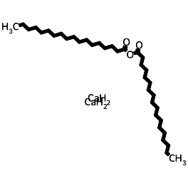 CCCCCCCCCCCCCCCCCC(=O)OC(=O)CCCCCCCCCCCCCCCCC.[CaH2].[CaH2]